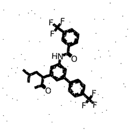 CC(=O)C(CC(C)C)c1cc(NC(=O)c2cccc(C(F)(F)F)c2)cc(-c2ccc(C(F)(F)F)cc2)c1